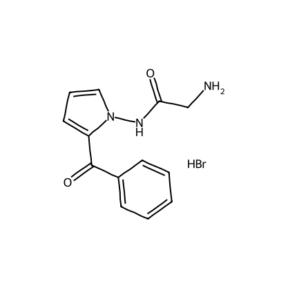 Br.NCC(=O)Nn1cccc1C(=O)c1ccccc1